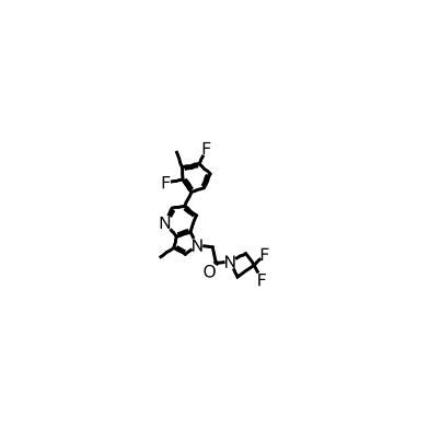 Cc1c(F)ccc(-c2cnc3c(C)cn(CC(=O)N4CC(F)(F)C4)c3c2)c1F